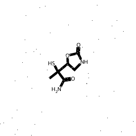 CC(S)(C(N)=O)C1CNC(=O)O1